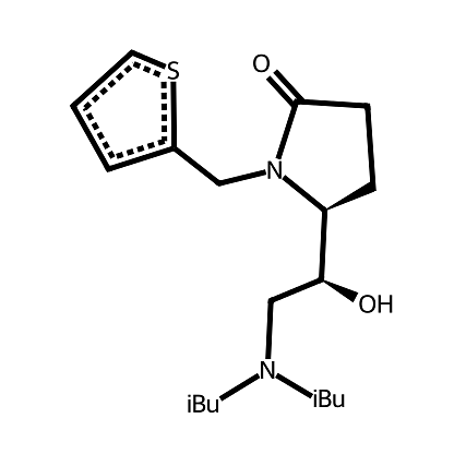 CCC(C)N(C[C@H](O)[C@@H]1CCC(=O)N1Cc1cccs1)C(C)CC